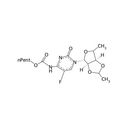 CCCCCOC(=O)Nc1nc(=O)n([C@@H]2OC(C)[C@H]3OC(C)O[C@H]32)cc1F